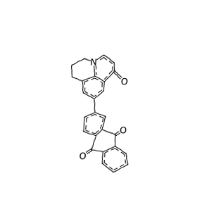 O=C1c2ccccc2C(=O)c2cc(-c3cc4c5c(c3)c(=O)ccn5CCC4)ccc21